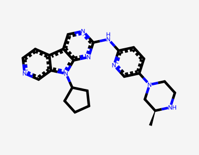 C[C@H]1CN(c2ccc(Nc3ncc4c5ccncc5n(C5CCCC5)c4n3)nc2)CCN1